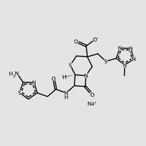 Cn1nnnc1SCC1(C(=O)[O-])CS[C@@H]2C(NC(=O)Cc3csc(N)n3)C(=O)N2C1.[Na+]